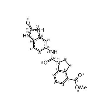 COC(=O)c1cccc2c1CCN2C(=O)Nc1ccc2[nH]c(=O)[nH]c2c1